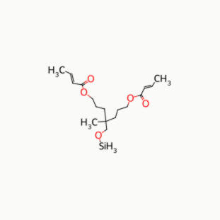 CC=CC(=O)OCCCC(C)(CCCOC(=O)C=CC)CO[SiH3]